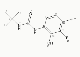 CC(C)(C)NC(=O)Nc1ccc(F)c(F)c1O